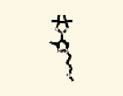 COCCCn1cc(B2OC(C)(C)C(C)(C)O2)c(C)n1